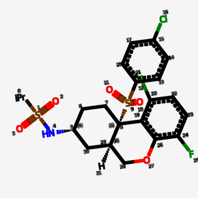 CC(C)S(=O)(=O)N[C@@H]1CC[C@@]2(S(=O)(=O)c3ccc(Cl)cc3)c3c(F)ccc(F)c3OC[C@H]2C1